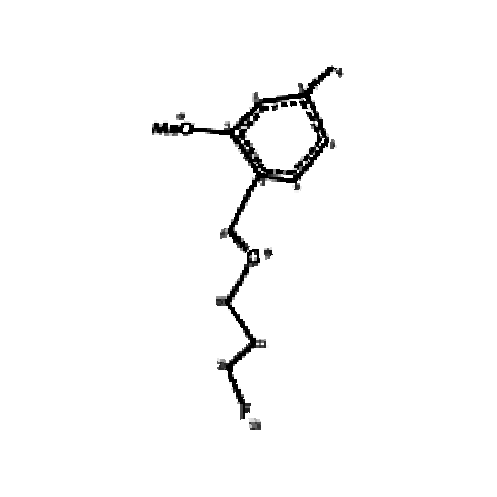 COc1cc(C)ccc1COCCCF